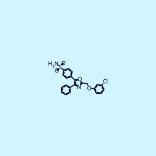 NS(=O)(=O)c1ccc(-c2oc(COc3cccc(Cl)c3)nc2-c2ccccc2)cc1